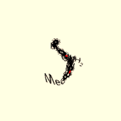 COc1ccc2c(c1)CCc1cnc(-n3cc(C(=O)Nc4ccc(CCn5cnc6ccccc65)cc4)c(N)n3)nc1-2